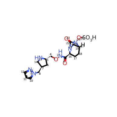 O=C(NOC[C@@H]1C[C@@H](Cn2cccn2)CN1)[C@@H]1CC[C@@H]2CN1C(=O)N2OS(=O)(=O)O